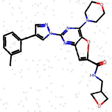 Cc1cccc(-c2cnn(-c3nc(N4CCOCC4)c4oc(C(=O)NCC5COC5)cc4n3)c2)c1